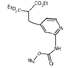 CCOC(=O)C(Cc1ccnc(NC(=O)OC(C)(C)C)c1)C(=O)OCC